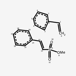 C=Cc1ccccc1.COS(=O)(=O)C=Cc1ccccc1